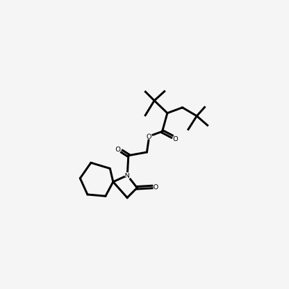 CC(C)(C)CC(C(=O)OCC(=O)N1C(=O)CC12CCCCC2)C(C)(C)C